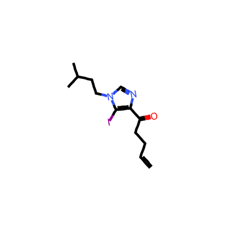 C=CCCC(=O)c1ncn(CCC(C)C)c1I